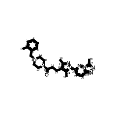 Cc1ccccc1CN1CCN(C(=O)CCc2c(C)nn(-c3ccc4nnc(C)n4n3)c2C)CC1